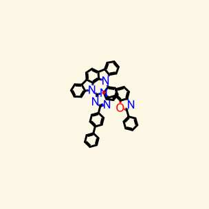 c1ccc(-c2ccc(-c3nc(-c4cccc5nc(-c6ccccc6)oc45)nc(-n4c5ccccc5c5ccc6c7ccccc7n(-c7ccccc7)c6c54)n3)cc2)cc1